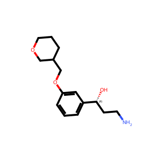 NCC[C@@H](O)c1cccc(OCC2CCCOC2)c1